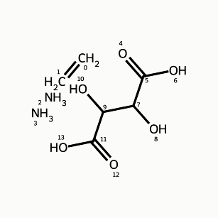 C=C.N.N.O=C(O)C(O)C(O)C(=O)O